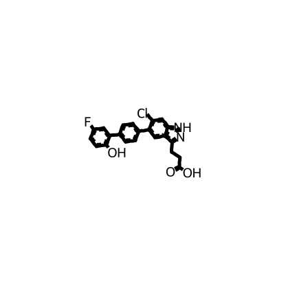 O=C(O)CCc1n[nH]c2cc(Cl)c(-c3ccc(-c4cc(F)ccc4O)cc3)cc12